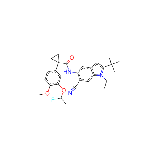 CCn1c(C(C)(C)C)cc2cc(NC(=O)C3(c4ccc(OC)c(OC(C)F)c4)CC3)c(C#N)cc21